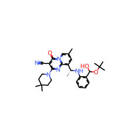 Cc1cc([C@@H](C)Nc2ccccc2C(O)OC(C)(C)C)c2nc(N3CCC(C)(C)CC3)c(C#N)c(=O)n2c1